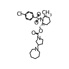 C[C@@H]1CCC[C@H](COC(=O)N2CCC(N3CCCCCC3)C2)N1S(=O)(=O)c1ccc(Cl)cc1